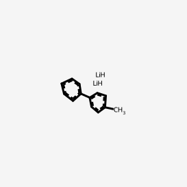 Cc1ccc(-c2ccccc2)cc1.[LiH].[LiH]